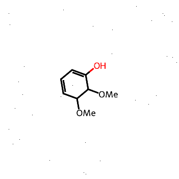 COC1C=CC=C(O)C1OC